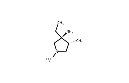 CC[C@@]1(N)CN(C)C[C@H]1C